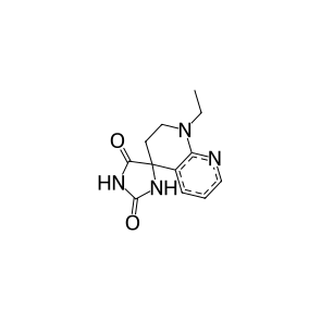 CCN1CCC2(NC(=O)NC2=O)c2cccnc21